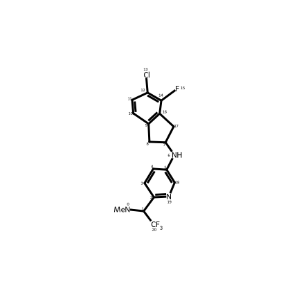 CNC(c1ccc(NC2Cc3ccc(Cl)c(F)c3C2)cn1)C(F)(F)F